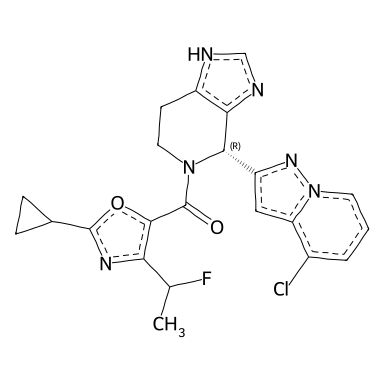 CC(F)c1nc(C2CC2)oc1C(=O)N1CCc2[nH]cnc2[C@@H]1c1cc2c(Cl)cccn2n1